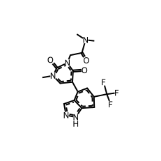 CN(C)C(=O)Cn1c(=O)c(-c2cc(C(F)(F)F)cc3[nH]ncc23)cn(C)c1=O